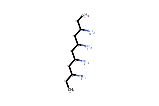 CCC(N)CC(N)CC(N)CC(N)CC